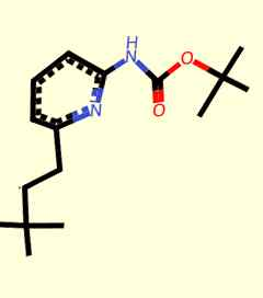 CC(C)(C)[CH]Cc1cccc(NC(=O)OC(C)(C)C)n1